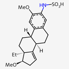 CC[C@]12CC[C@@H]3c4cc(OC)c(NS(=O)(=O)O)cc4CC[C@H]3C1=CC[C@H]2OC